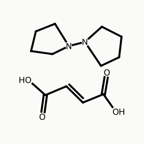 C1CCN(N2CCCC2)C1.O=C(O)/C=C/C(=O)O